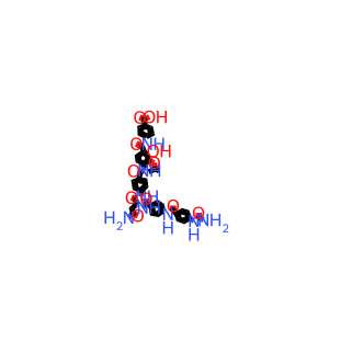 CC(C)Oc1c(NC(=O)c2ccc(NC(=O)C(CC(N)=O)NC(=O)c3ccc(NC(=O)c4ccc(NC(N)=O)cc4)cc3)cc2)ccc(C(=O)Nc2ccc(C(=O)O)cc2)c1O